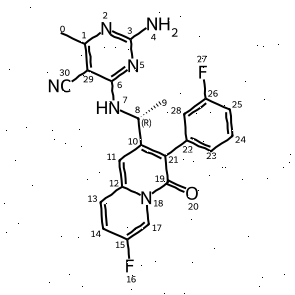 Cc1nc(N)nc(N[C@H](C)c2cc3ccc(F)cn3c(=O)c2-c2cccc(F)c2)c1C#N